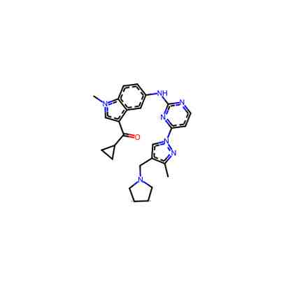 Cc1nn(-c2ccnc(Nc3ccc4c(c3)c(C(=O)C3CC3)cn4C)n2)cc1CN1C[CH][CH]C1